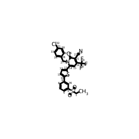 CCS(=O)(=O)c1cccc(-c2ccc(-c3cc(C(F)(F)F)c(C#N)c(=O)n3Cc3ccc(Cl)cc3)s2)c1